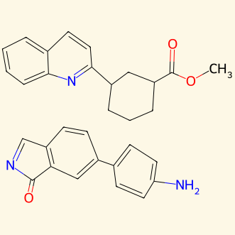 COC(=O)C1CCCC(c2ccc3ccccc3n2)C1.Nc1ccc(-c2ccc3c(c2)C(=O)N=C3)cc1